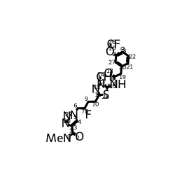 CNC(=O)c1cn(C[C@@H](F)CCC2=NN(C)C(NC(=O)Cc3cccc(OC(F)(F)F)c3)S2)nn1